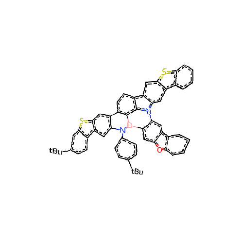 CC(C)(C)c1ccc(N2B3c4cc5oc6ccccc6c5cc4-n4c5cc6c(cc5c5ccc(c3c54)-c3cc4sc5cc(C(C)(C)C)ccc5c4cc32)sc2ccccc26)cc1